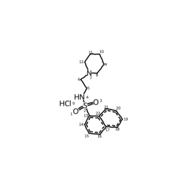 Cl.O=S(=O)(NCCN1CCCCC1)c1cccc2ccccc12